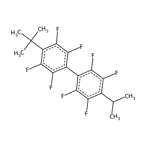 CC(C)c1c(F)c(F)c(-c2c(F)c(F)c(C(C)(C)C)c(F)c2F)c(F)c1F